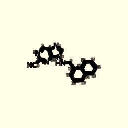 N#Cc1ncc2ncn(NCc3cccc4ccccc34)c2n1